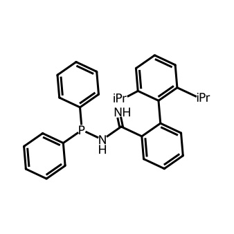 CC(C)c1cccc(C(C)C)c1-c1ccccc1C(=N)NP(c1ccccc1)c1ccccc1